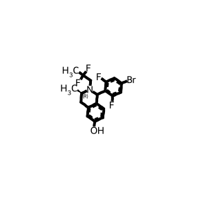 C[C@@H]1Cc2cc(O)ccc2C(c2c(F)cc(Br)cc2F)N1CC(C)(F)F